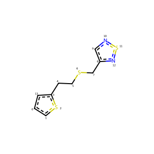 c1csc(CCSCc2cnsn2)c1